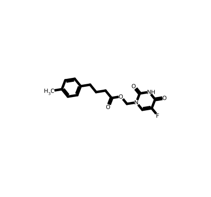 Cc1ccc(CCCC(=O)OCn2cc(F)c(=O)[nH]c2=O)cc1